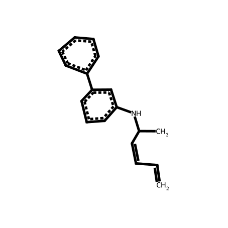 C=C/C=C\C(C)Nc1cccc(-c2ccccc2)c1